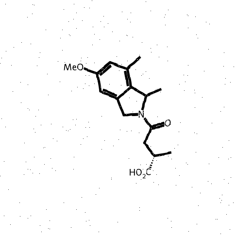 COc1cc(C)c2c(c1)CN(C(=O)C[C@H](C)C(=O)O)C2C